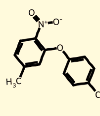 Cc1ccc([N+](=O)[O-])c(Oc2ccc(Cl)cc2)c1